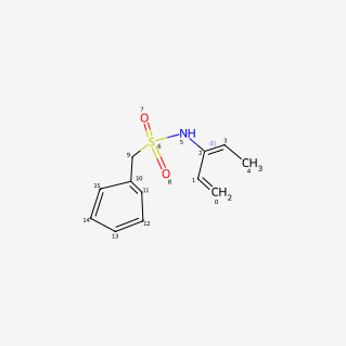 C=C/C(=C\C)NS(=O)(=O)Cc1ccccc1